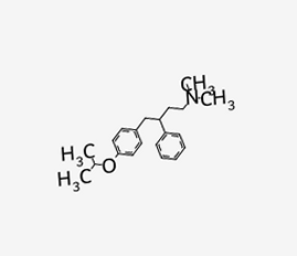 CC(C)Oc1ccc(CC(CCN(C)C)c2ccccc2)cc1